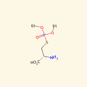 CCOP(=O)(OCC)SC[C@H](N)C(=O)O